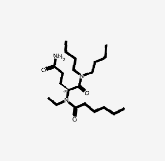 CCCCCC(=O)N(CC)[C@@H](CCC(N)=O)C(=O)N(CCCC)CCCC